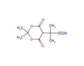 CC1(C)OC(=O)C(C(C)(C)C#N)C(=O)O1